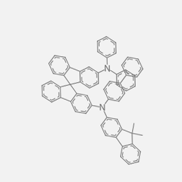 CC1(C)c2ccccc2-c2ccc(N(c3ccc(-c4ccccc4)cc3)c3ccc4c(c3)C3(c5ccccc5-c5cc(N(c6ccccc6)c6ccccc6)ccc53)c3ccccc3-4)cc21